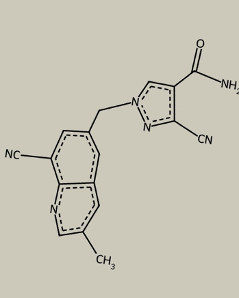 Cc1cnc2c(C#N)cc(Cn3cc(C(N)=O)c(C#N)n3)cc2c1